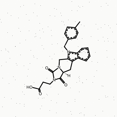 Cc1ccc(Cn2c3c(c4ccccc42)C[C@H]2C(=O)N(CCC(=O)O)C(=O)N2C3)cc1